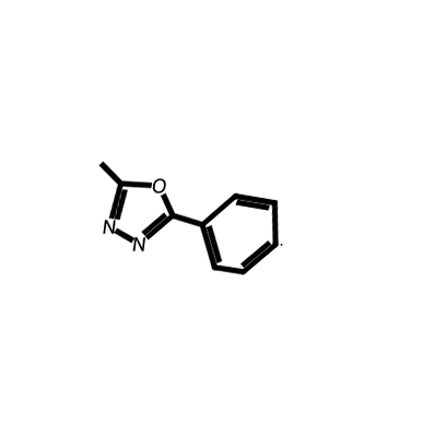 Cc1nnc(-c2cc[c]cc2)o1